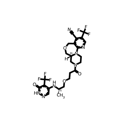 C[C@@H](COCCC(=O)N1CCN2c3ncc(C(F)(F)F)c(C#N)c3COC[C@H]2C1)Nc1cn[nH]c(=O)c1C(F)(F)F